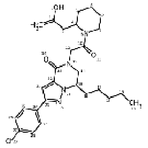 C=C(O)CC1CCCCN1C(=O)CN1CC(CCCCC)n2nc(-c3ccc(Cl)cc3)cc2C1=O